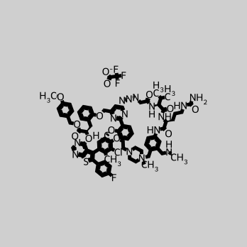 CNCc1cc(NC(=O)[C@H](CCCNC(N)=O)NC(=O)[C@@H](NC(=O)CN=[N+]=[N-])C(C)C)ccc1C[N+]1(C)CCN(CCOc2ccc(-c3c(-c4ccc(F)cc4)sc4ncnc(O[C@H](Cc5ccccc5OCc5ccnc(-c6ccccc6OC)n5)C(=O)OCc5ccc(OC)cc5)c34)c(C)c2Cl)CC1.O=C([O-])C(F)(F)F